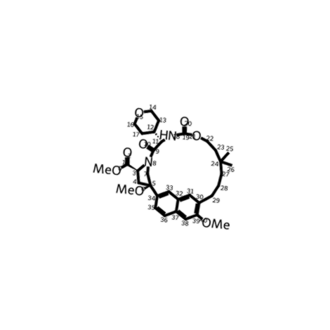 COC(=O)[C@@H]1C[C@]2(OC)CN1C(=O)[C@H](C1CCOCC1)NC(=O)OCCC(C)(C)CCCc1cc3cc2ccc3cc1OC